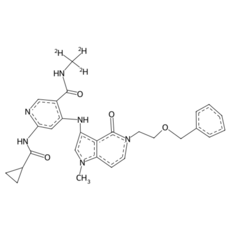 [2H]C([2H])([2H])NC(=O)c1cnc(NC(=O)C2CC2)cc1Nc1cn(C)c2ccn(CCOCc3ccccc3)c(=O)c12